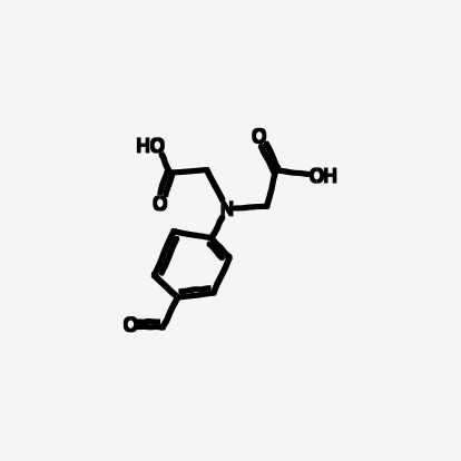 O=Cc1ccc(N(CC(=O)O)CC(=O)O)cc1